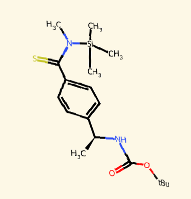 C[C@H](NC(=O)OC(C)(C)C)c1ccc(C(=S)N(C)[Si](C)(C)C)cc1